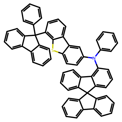 c1ccc(N(c2ccc3sc4c(C5(c6ccccc6)c6ccccc6-c6ccccc65)cccc4c3c2)c2cccc3c2-c2ccccc2C32c3ccccc3-c3ccccc32)cc1